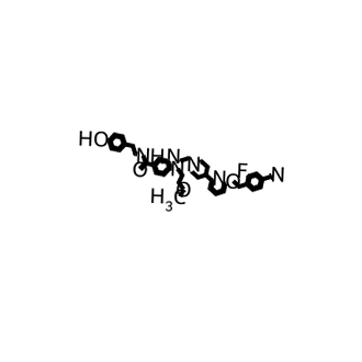 COCCn1c(CN2CCC(c3cccc(OCc4ccc(C#N)cc4F)n3)CC2)nc2cc(C(=O)NCCc3ccc(O)cc3)ccc21